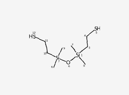 C[Si](C)(CCS)O[Si](C)(C)CCS